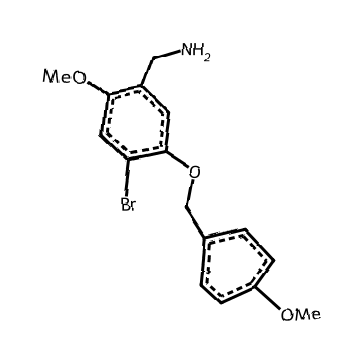 COc1ccc(COc2cc(CN)c(OC)cc2Br)cc1